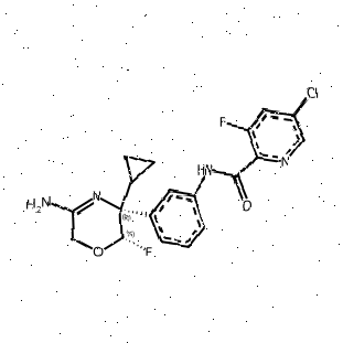 NC1=N[C@@](c2cccc(NC(=O)c3ncc(Cl)cc3F)c2)(C2CC2)[C@H](F)OC1